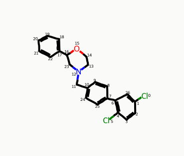 Clc1ccc(Cl)c(-c2ccc(CN3CCOC(c4ccccc4)C3)cc2)c1